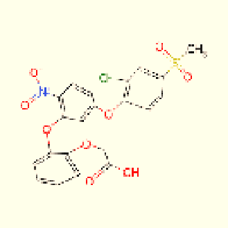 CS(=O)(=O)c1ccc(Oc2ccc([N+](=O)[O-])c(Oc3ccccc3OCC(=O)O)c2)c(Cl)c1